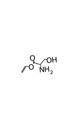 C=COC(=O)C(N)CO